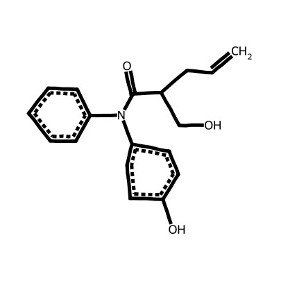 C=CCC(CO)C(=O)N(c1ccccc1)c1ccc(O)cc1